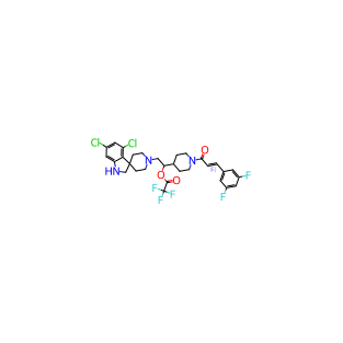 O=C(/C=C/c1cc(F)cc(F)c1)N1CCC(C(CN2CCC3(CC2)CNc2cc(Cl)cc(Cl)c23)OC(=O)C(F)(F)F)CC1